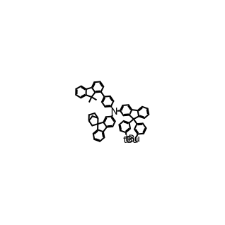 CC(C)(C)c1cccc(C2(c3cccc(C(C)(C)C)c3)c3ccccc3-c3ccc(N(c4ccc(-c5cccc6c5C(C)(C)c5ccccc5-6)cc4)c4ccc5c(c4)C4(CC6CCC4C6)c4ccccc4-5)cc32)c1